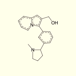 CN1CCCC1c1cccc(-c2c(CO)cc3ccccn23)c1